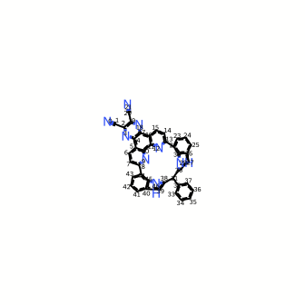 N#Cc1nc2c3ccc4nc3c3nc(ccc3c2nc1C#N)-c1cccc2cc([nH]c12)C(c1ccccc1)c1cc2cccc-4c2[nH]1